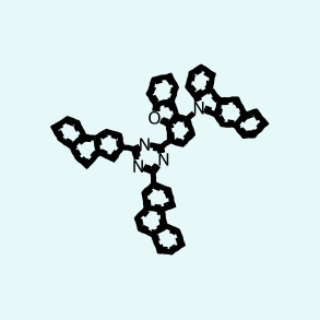 c1ccc2cc3c(cc2c1)c1ccccc1n3-c1ccc(-c2nc(-c3ccc4c(ccc5ccccc54)c3)nc(-c3ccc4c(ccc5ccccc54)c3)n2)c2oc3ccccc3c12